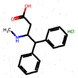 CNC(CC(=O)O)C(c1ccccc1)c1ccccc1.Cl